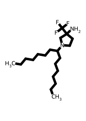 CCCCCCCC(CCCCCCC)N1CCC(N)(C(F)(F)F)C1